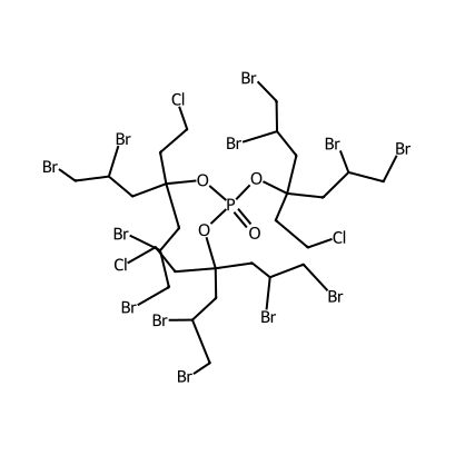 O=P(OC(CCCl)(CC(Br)CBr)CC(Br)CBr)(OC(CCCl)(CC(Br)CBr)CC(Br)CBr)OC(CCCl)(CC(Br)CBr)CC(Br)CBr